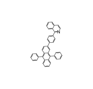 c1ccc(-c2c3ccccc3c(-c3ccccc3)c3cc(-c4ccc(-c5nccc6ccccc56)cc4)ccc23)cc1